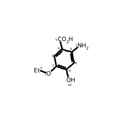 CCOc1cc(C(=O)O)c(N)cc1O